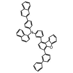 c1ccc(-c2cccc(-c3ccc(-c4cccc(N(c5ccc(-c6ccc7ccccc7c6)cc5)c5cccc6ccccc56)c4)c4c3oc3ccccc34)c2)cc1